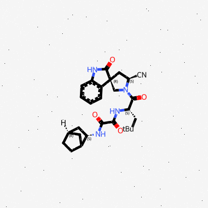 CC(C)(C)C[C@H](NC(=O)C(=O)N[C@H]1C[C@@H]2CCC1C2)C(=O)N1C[C@]2(C[C@H]1C#N)C(=O)Nc1ccccc12